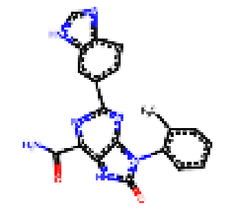 NC(=O)c1nc(-c2ccc3nc[nH]c3c2)nc2c1[nH]c(=O)n2-c1ccccc1C(F)(F)F